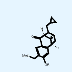 COCc1cc2c(cc1O)[C@]1(C)CCC(CC3CC3)[C@H](C2=O)[C@@H]1C